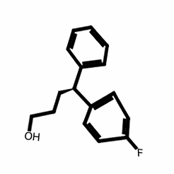 OCCC[C@@H](c1ccccc1)c1ccc(F)cc1